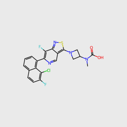 CN(C(=O)O)C1CN(c2snc3c(F)c(-c4cccc5ccc(F)c(Cl)c45)ncc23)C1